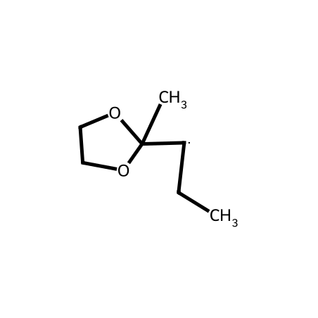 CC[CH]C1(C)OCCO1